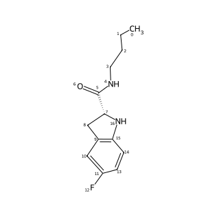 CCCCNC(=O)[C@H]1Cc2cc(F)ccc2N1